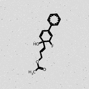 CC(=O)OCC=CC1(O)C=CC(c2ccccc2)=CC1F